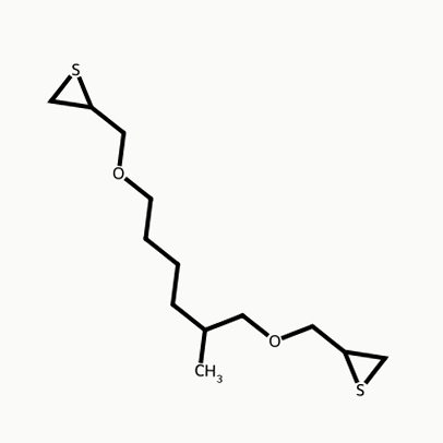 CC(CCCCOCC1CS1)COCC1CS1